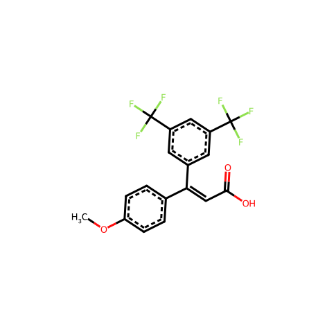 COc1ccc(C(=CC(=O)O)c2cc(C(F)(F)F)cc(C(F)(F)F)c2)cc1